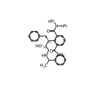 CCCN(CCC)C(=O)c1cccc(C(N)=O)c1[C@H](Cc1ccccc1)[C@@H](O)CNC(C)c1ccccc1